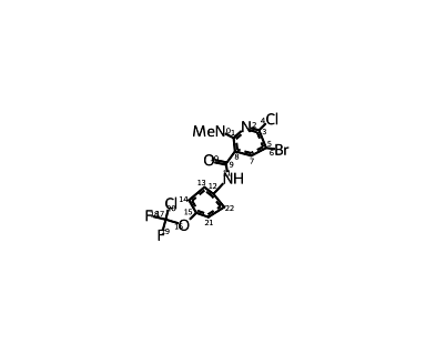 CNc1nc(Cl)c(Br)cc1C(=O)Nc1ccc(OC(F)(F)Cl)cc1